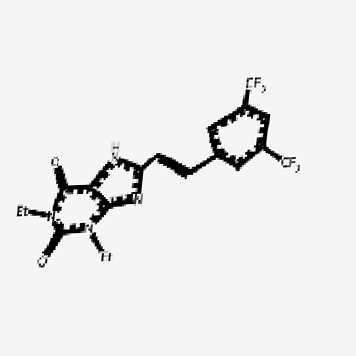 CCn1c(=O)c2[nH]c(C=Cc3cc(C(F)(F)F)cc(C(F)(F)F)c3)nc2n(CC)c1=O